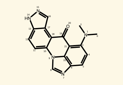 CN(C)c1ccc2ncn3c4ccc5[nH]ncc5c4c(=O)c1c23